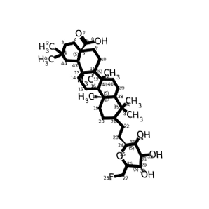 CC1(C)CC[C@]2(C(=O)O)CC[C@]3(C)C(=CCC4[C@@]5(C)CCC(CC[C@@H]6OC(CF)[C@@H](O)C(O)C6O)C(C)(C)C5CC[C@]43C)C2C1